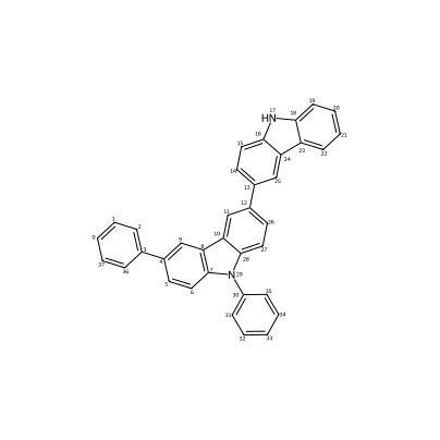 c1ccc(-c2ccc3c(c2)c2cc(-c4ccc5[nH]c6ccccc6c5c4)ccc2n3-c2ccccc2)cc1